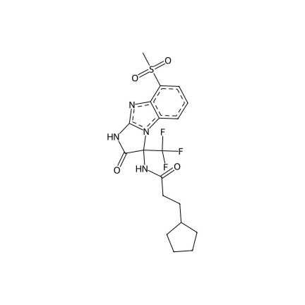 CS(=O)(=O)c1cccc2c1nc1n2C(NC(=O)CCC2CCCC2)(C(F)(F)F)C(=O)N1